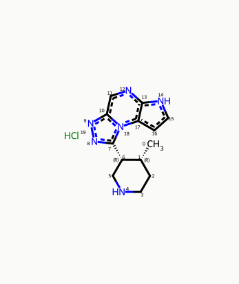 C[C@@H]1CCNC[C@@H]1c1nnc2cnc3[nH]ccc3n12.Cl